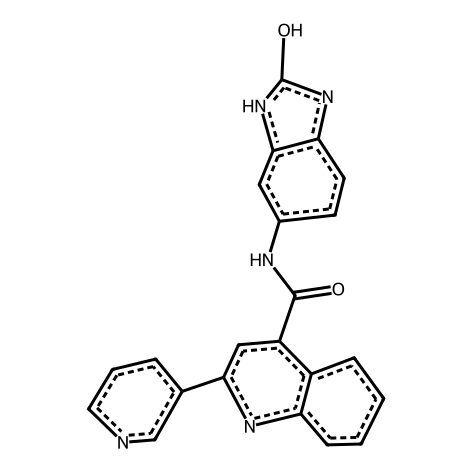 O=C(Nc1ccc2nc(O)[nH]c2c1)c1cc(-c2cccnc2)nc2ccccc12